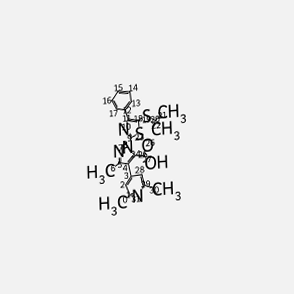 Cc1cc(-c2c(C)nn(-c3nc(-c4ccccc4)c(SC(C)C)s3)c2C(=O)O)cc(C)n1